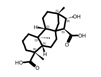 C[C@]12CC[C@@H]3C(CC[C@H]4[C@@]3(C)CCC[C@@]4(C)C(=O)O)(C1)[C@H](C(=O)O)[C@H]2O